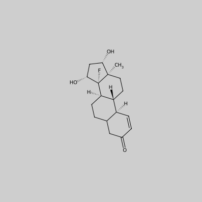 C[C@]12CC[C@H]3[C@@H](CCC4CC(=O)C=C[C@@H]43)[C@@]1(F)[C@H](O)C[C@@H]2O